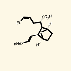 CC/C=C\C[C@H](C(=O)O)C1[C@H]2CC[C@H](O2)[C@H]1/C=C/CCCCCC